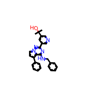 CC(C)(O)c1cncc(-c2nc(NCc3ccccc3)c3c(-c4ccccc4)ccn3n2)c1